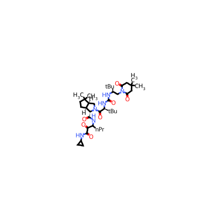 CCCC(NC(=O)[C@@H]1[C@H]2CCC(C)(C)[C@H]2CN1C(=O)[C@@H](NC(=O)N[C@H](CN1C(=O)CC(C)(C)CC1=O)C(C)(C)C)C(C)(C)C)C(=O)C(=O)NC1CC1